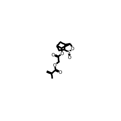 C=C(C)C(=O)OCC(=O)OC1C2CC3C1OS(=O)C3C2